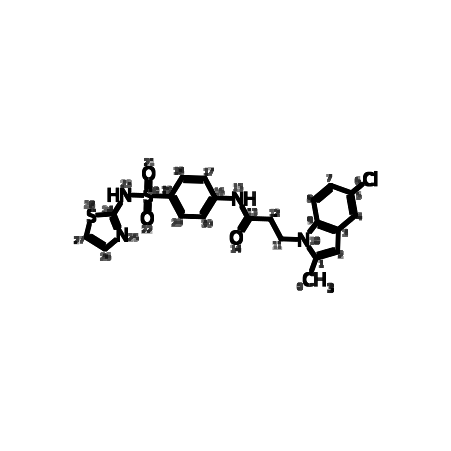 Cc1cc2cc(Cl)ccc2n1CCC(=O)Nc1ccc(S(=O)(=O)Nc2nccs2)cc1